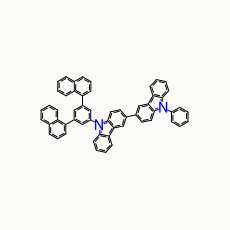 c1ccc(-n2c3ccccc3c3cc(-c4ccc5c(c4)c4ccccc4n5-c4cc(-c5cccc6ccccc56)cc(-c5cccc6ccccc56)c4)ccc32)cc1